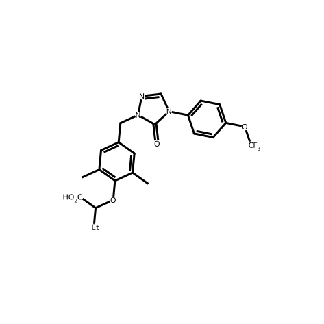 CCC(Oc1c(C)cc(Cn2ncn(-c3ccc(OC(F)(F)F)cc3)c2=O)cc1C)C(=O)O